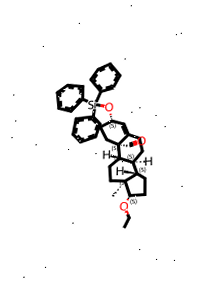 CCO[C@H]1CC[C@H]2[C@@H]3CCC4=C[C@@H](O[Si](c5ccccc5)(c5ccccc5)c5ccccc5)CC[C@]4(C=O)[C@H]3CC[C@]12C